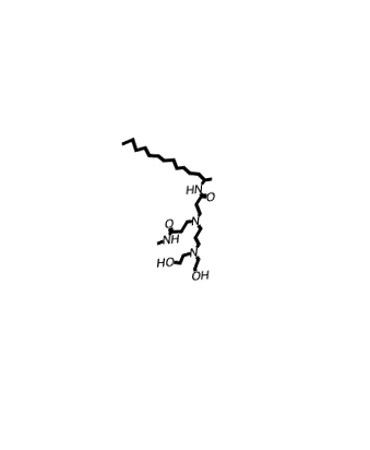 CCCCCCCCCCCCC(C)NC(=O)CCN(CCCN(CCO)CCO)CCC(=O)NC